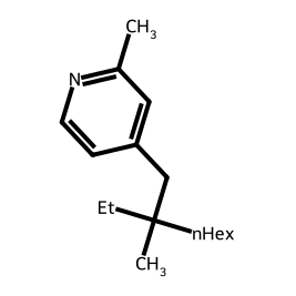 CCCCCCC(C)(CC)Cc1ccnc(C)c1